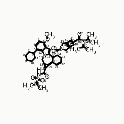 COc1ccc(C2CCCCC2)c2c1cc1n2CC2=C(C(=O)NS(=O)(=O)N(C)C)C2=C2C=CC[C@@H](C(=O)N3CC45CCC4(C3)CN(C(=O)N(C(C)C)C(C)C)C5)[C@@H]21